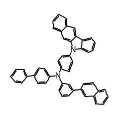 c1ccc(-c2ccc(N(c3ccc(-n4c5ccccc5c5cc6ccccc6cc54)cc3)c3cccc(-c4ccc5ccccc5c4)c3)cc2)cc1